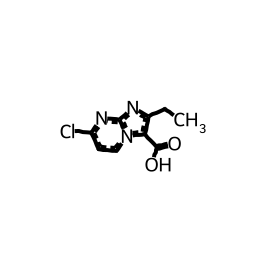 CCc1nc2nc(Cl)ccn2c1C(=O)O